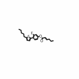 CCCC=CC(=O)Oc1ccc(-c2ccc(CCCCC)s2)c(F)c1